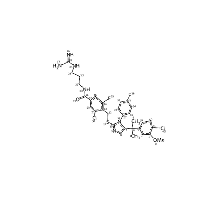 COc1cc(C(C)(C)c2cnc(SCc3c(F)cc(C(=O)NCCCNC(=N)N)cc3Cl)n2-c2ccc(F)cc2)ccc1Cl